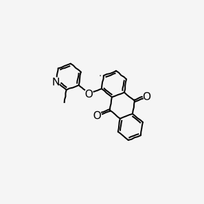 Cc1ncccc1Oc1[c]ccc2c1C(=O)c1ccccc1C2=O